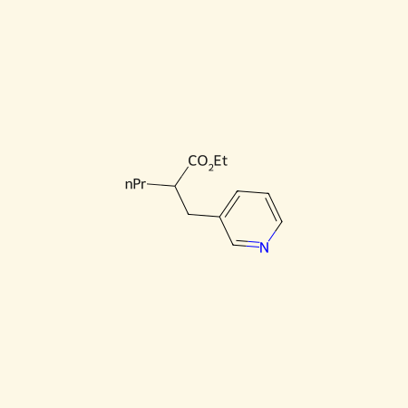 CCCC(Cc1cccnc1)C(=O)OCC